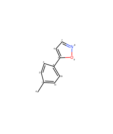 Cc1ccc(-c2c[c]no2)cc1